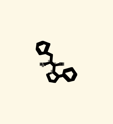 N[C@@H](Cc1ccccc1)[C@@H](O)[C@H]1CCCC1c1ccccc1